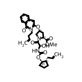 C=CCCn1c(O[C@@H]2C[C@@H](C(=O)OC)N(C(=O)[C@H](O)NC(=O)O[C@@H]3CCC[C@H]3CC=C)C2)cc2ccccc2c1=O